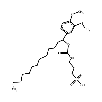 CCCCCCCCCCCCC(OC(=O)NCCCS(=O)(=O)O)c1ccc(OC)c(OC)c1